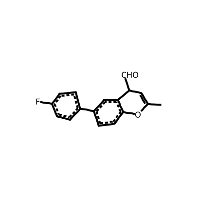 CC1=CC(C=O)c2cc(-c3ccc(F)cc3)ccc2O1